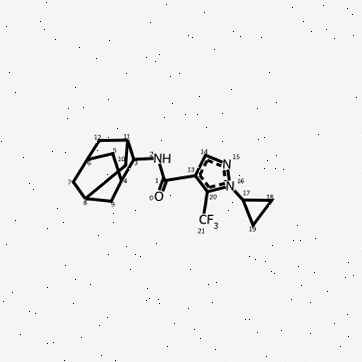 O=C(NC1C2CC3CC(C2)CC1C3)c1cnn(C2CC2)c1C(F)(F)F